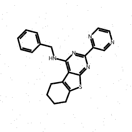 c1ccc(CNc2nc(-c3cnccn3)nc3sc4c(c23)CCCC4)cc1